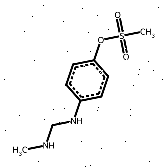 CNCNc1ccc(OS(C)(=O)=O)cc1